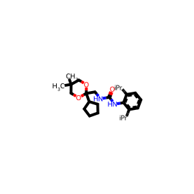 CC(C)c1cccc(C(C)C)c1NC(=O)NCC1(C2CCCC2)OCC(C)(C)CO1